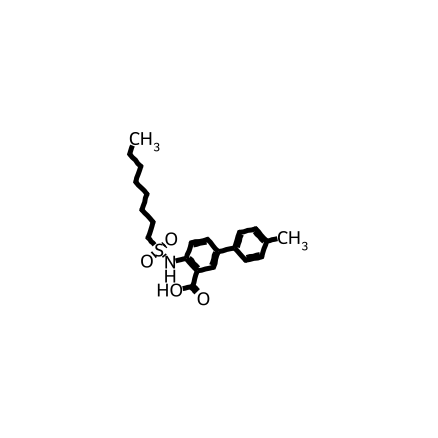 CCCCCCCCS(=O)(=O)Nc1ccc(-c2ccc(C)cc2)cc1C(=O)O